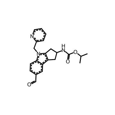 CC(C)OC(=O)NC1Cc2c(n(Cc3ccccn3)c3ccc(C=O)cc23)C1